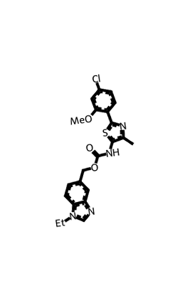 CCn1cnc2cc(COC(=O)Nc3sc(-c4ccc(Cl)cc4OC)nc3C)ccc21